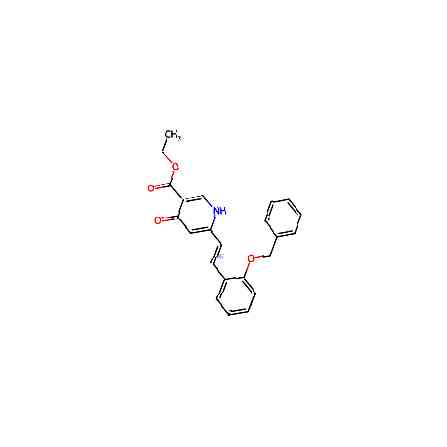 CCOC(=O)c1c[nH]c(/C=C/c2ccccc2OCc2ccccc2)cc1=O